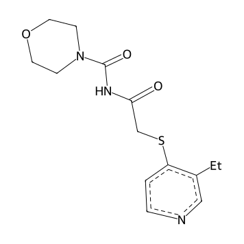 CCc1cnccc1SCC(=O)NC(=O)N1CCOCC1